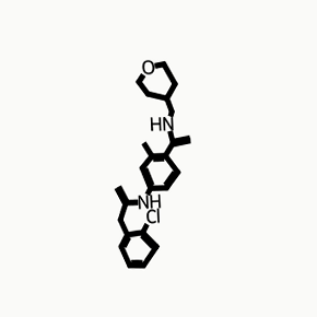 C=C(Cc1ccccc1Cl)Nc1ccc(C(=C)NCC2CCOCC2)c(C)c1